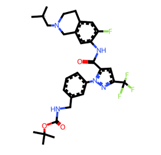 C[C](C)CN1CCc2cc(F)c(NC(=O)c3cc(C(F)(F)F)nn3-c3cccc(CNC(=O)OC(C)(C)C)c3)cc2C1